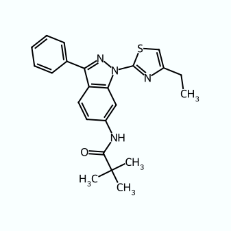 CCc1csc(-n2nc(-c3ccccc3)c3ccc(NC(=O)C(C)(C)C)cc32)n1